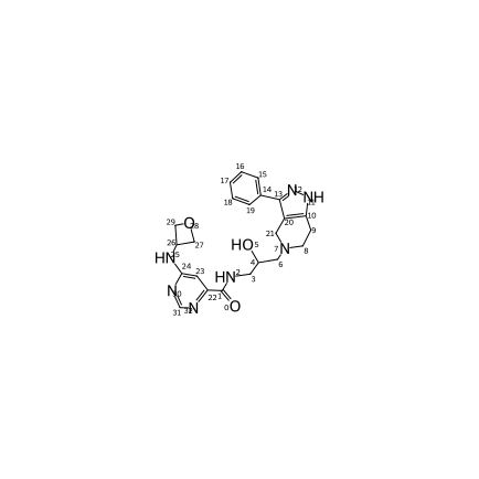 O=C(NCC(O)CN1CCc2[nH]nc(-c3ccccc3)c2C1)c1cc(NC2COC2)ncn1